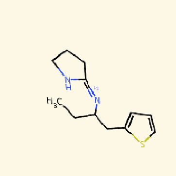 CCC(Cc1cccs1)/N=C1/CCCN1